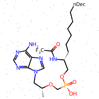 CCCCCCCCCCCCCCCC[C@H](COP(=O)(O)CO[C@H](C)Cn1cnc2c(N)ncnc21)NC(=O)C(F)(F)F